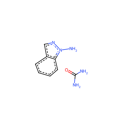 NC(N)=O.Nn1ncc2ccccc21